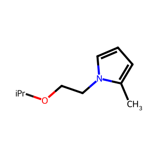 Cc1cccn1CCOC(C)C